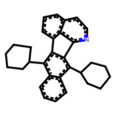 c1cc2c3c(nccc3c1)-c1c-2c(C2CCCCC2)c2ccccc2c1C1CCCCC1